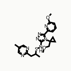 COCC1(n2c(NSC(C)Cc3ncc(C)cn3)nnc2-c2cccc(OC)n2)CC1